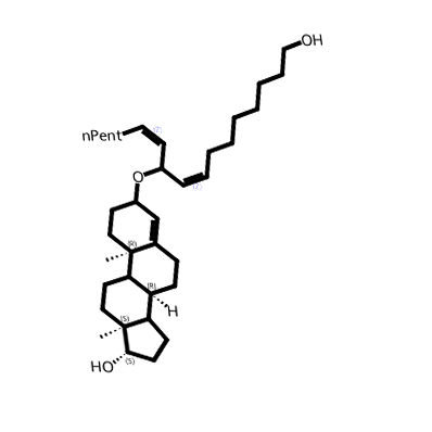 CCCCC/C=C\C(/C=C\CCCCCCCO)OC1C=C2CC[C@@H]3C(CC[C@@]4(C)C3CC[C@@H]4O)[C@@]2(C)CC1